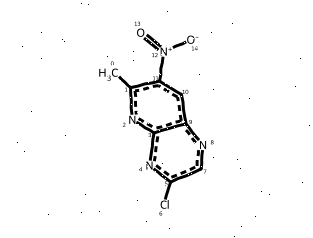 Cc1nc2nc(Cl)cnc2cc1[N+](=O)[O-]